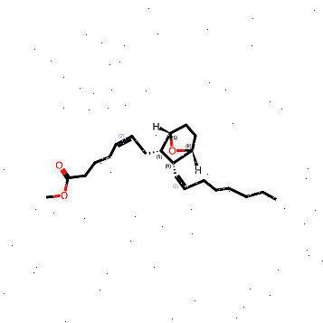 CCCCCC/C=C\[C@@H]1[C@H](C/C=C\CCCC(=O)OC)[C@@H]2CC[C@H]1O2